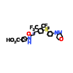 O=C(/C=C/c1ccc(Sc2cccc(NC3CCOCC3)c2)c(C(F)(F)F)c1C(F)(F)F)NC12CCC(C(=O)O)(CC1)CC2